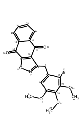 COc1cc(Cc2noc3c2C(=O)c2ccccc2C3=O)c(Br)c(OC)c1OC